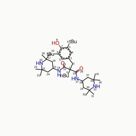 CCCCC(Cc1cc(C(C)(C)C)c(O)c(C(C)(C)C)c1)(C(=O)NC1CC(C)(C)NC(C)(C)C1)C(=O)NC1CC(C)(C)NC(C)(C)C1